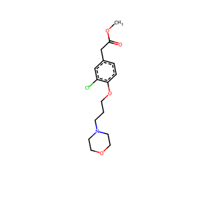 COC(=O)Cc1ccc(OCCCN2CCOCC2)c(Cl)c1